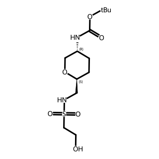 CC(C)(C)OC(=O)N[C@@H]1CC[C@@H](CNS(=O)(=O)CCO)OC1